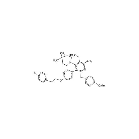 COc1ccc(Cc2nc(C)c(CC(=O)O)c(N3CCC(C)(C)CC3)c2-c2ccc(OCCc3ccc(F)cc3)cc2)cc1